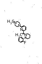 C=C(c1cccc(N2CCN(C)CC2)n1)N1CCCC[C@@H]1c1ccccc1F